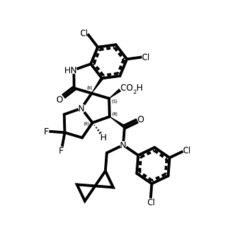 O=C(O)[C@H]1[C@@H](C(=O)N(CC2CC23CC3)c2cc(Cl)cc(Cl)c2)[C@H]2CC(F)(F)CN2[C@]12C(=O)Nc1c(Cl)cc(Cl)cc12